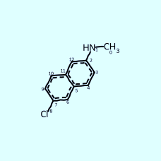 CNc1ccc2cc(Cl)ccc2c1